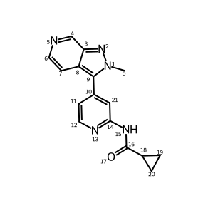 Cn1nc2cnccc2c1-c1ccnc(NC(=O)C2CC2)c1